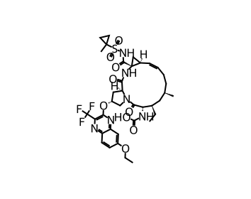 CCOc1ccc2nc(C(F)(F)F)c(O[C@@H]3C[C@H]4C(=O)N[C@]5(C(=O)NS(=O)(=O)C6(C)CC6)C[C@H]5C=CCC[C@@H](C)C[C@@H](CC)[C@H](NC(=O)O)C(=O)N4C3)nc2c1